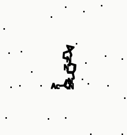 CC(=O)c1cnn(Cc2ccc(N3CCC4(CC4)C3)nc2)c1